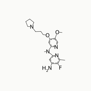 COc1cnc(N(C)c2cc(N)c(F)c(C)n2)cc1OCCCN1CCCC1